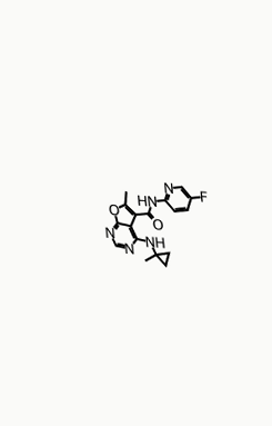 Cc1oc2ncnc(NC3(C)CC3)c2c1C(=O)Nc1ccc(F)cn1